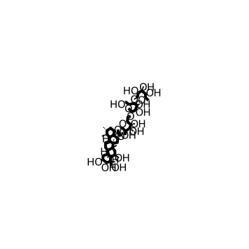 CC1O[C@@H](O[C@@H]2C(CO)O[C@@H](OCC3O[C@@H](OC(=O)[C@]45CC[C@@H](C)[C@H](C)[C@H]4C4=CC[C@@H]6[C@@]7(C)C[C@@H](O)[C@H](O)[C@@](C)(CO)[C@@H]7[C@H](O)C[C@@]6(C)[C@]4(C)CC5)C(O)[C@H](O)[C@@H]3O)C(O)[C@@H]2O)C(O)[C@@H](O)[C@H]1O